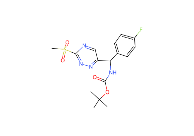 CC(C)(C)OC(=O)NC(c1ccc(F)cc1)c1cnc(S(C)(=O)=O)nn1